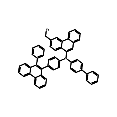 CC(C)Cc1ccc2c(N(c3ccc(-c4ccccc4)cc3)c3ccc(-c4c(-c5ccccc5)c5ccccc5c5ccccc45)cc3)cc3ccccc3c2c1